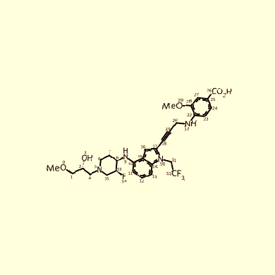 COC[C@H](O)CN1CC[C@@H](Nc2cccc3c2cc(C#CCNc2ccc(C(=O)O)cc2OC)n3CC(F)(F)F)[C@@H](F)C1